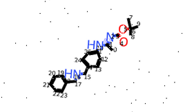 C/C(=N\C(=O)OC(C)(C)C)Nc1ccc(CNCc2ccccc2)cc1